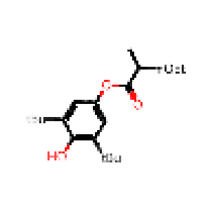 CCCCCCCCC(C)C(=O)Oc1cc(C(C)(C)C)c(O)c(C(C)(C)C)c1